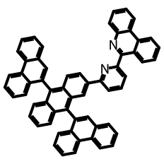 c1cc(-c2ccc3c(-c4cc5ccccc5c5ccccc45)c4ccccc4c(-c4cc5ccccc5c5ccccc45)c3c2)nc(-c2nc3ccccc3c3ccccc23)c1